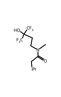 CC(C)CC(=O)N(C)CCC(O)(C(F)(F)F)C(F)(F)F